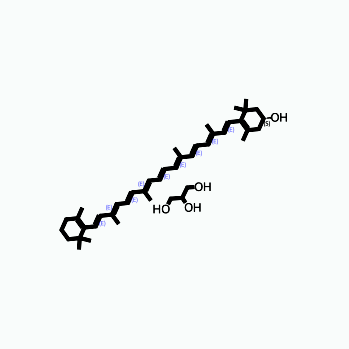 CC1=C(/C=C/C(C)=C/C=C/C(C)=C/C=C/C=C(C)/C=C/C=C(C)/C=C/C2=C(C)C[C@@H](O)CC2(C)C)C(C)(C)CCC1.OCC(O)CO